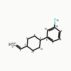 C=CC1CCC(c2cccc(F)c2)CC1